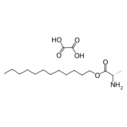 CCCCCCCCCCCCOC(=O)[C@H](C)N.O=C(O)C(=O)O